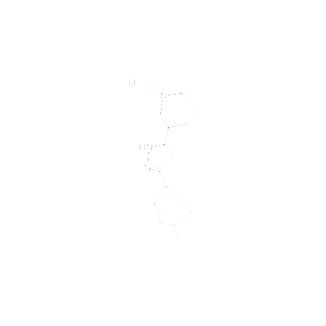 O=C(O)N1CCCC(c2cc(-c3ccc(F)cc3)n[nH]2)C1